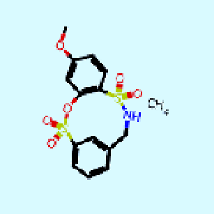 C.COc1ccc2c(c1)OS(=O)(=O)c1cccc(c1)CNS2(=O)=O